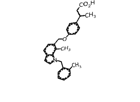 Cc1ccccc1Cn1ccc2ccc(COc3ccc(C(C)CC(=O)O)cc3)c(C)c21